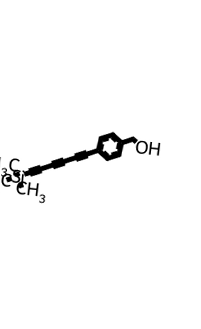 C[Si](C)(C)C#CC#CC#Cc1ccc(CO)cc1